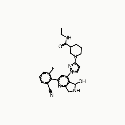 CCNC(=O)C1CCCN(c2ccn(-c3cc(-c4c(F)cccc4C#N)nc4c3C(O)NC4)n2)C1